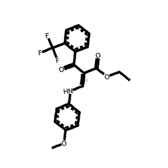 CCOC(=O)/C(=C/Nc1ccc(OC)cc1)C(=O)c1ccccc1C(F)(F)F